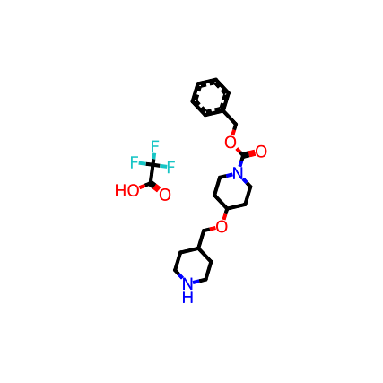 O=C(O)C(F)(F)F.O=C(OCc1ccccc1)N1CCC(OCC2CCNCC2)CC1